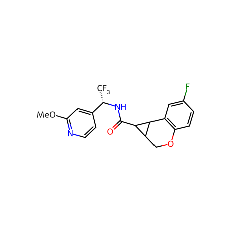 COc1cc([C@@H](NC(=O)C2C3COc4ccc(F)cc4C32)C(F)(F)F)ccn1